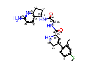 Cc1cc(F)ccc1C1=C[C@H](C(=O)N[C@@H](C)C(=O)N[C@@H]2CCc3nc(N)ccc32)NCC1